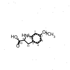 COc1ccc2c(c1)NC(C(=O)O)C2